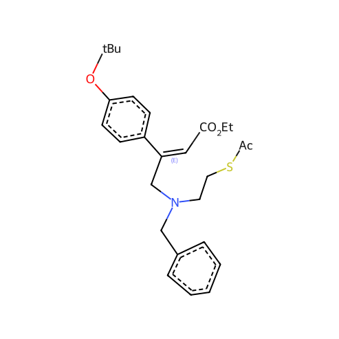 CCOC(=O)/C=C(/CN(CCSC(C)=O)Cc1ccccc1)c1ccc(OC(C)(C)C)cc1